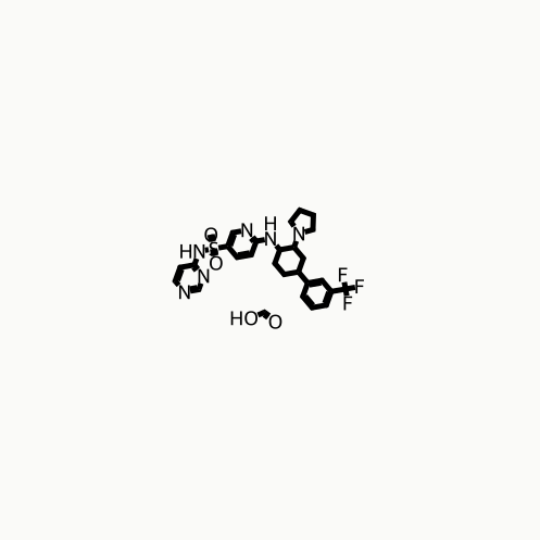 O=CO.O=S(=O)(Nc1ccncn1)c1ccc(NC2CCC(c3cccc(C(F)(F)F)c3)CC2N2CCCC2)nc1